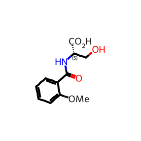 COc1ccccc1C(=O)N[C@@H](CO)C(=O)O